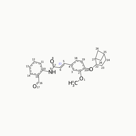 COc1cc(/C=C/C(=O)Nc2ccccc2C=O)ccc1OC1CCC2CC1C2